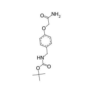 CC(C)(C)OC(=O)NCc1ccc(OCC(N)=O)cc1